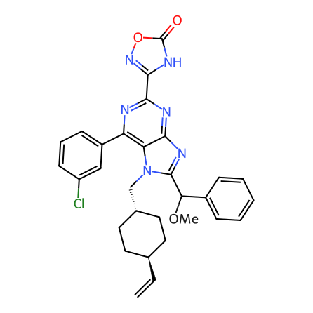 C=C[C@H]1CC[C@H](Cn2c(C(OC)c3ccccc3)nc3nc(-c4noc(=O)[nH]4)nc(-c4cccc(Cl)c4)c32)CC1